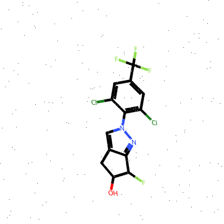 OC1Cc2cn(-c3c(Cl)cc(C(F)(F)F)cc3Cl)nc2C1F